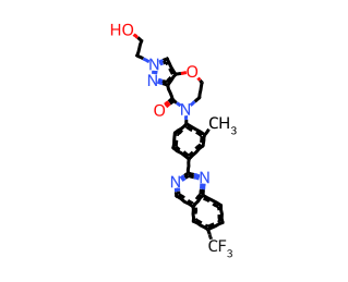 Cc1cc(-c2ncc3cc(C(F)(F)F)ccc3n2)ccc1N1CCOc2cn(CCO)nc2C1=O